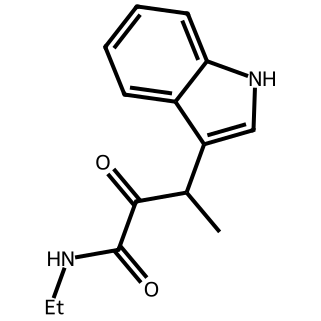 CCNC(=O)C(=O)C(C)c1c[nH]c2ccccc12